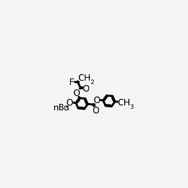 C=C(F)C(=O)Oc1cc(C(=O)Oc2ccc(C)cc2)ccc1OCCCC